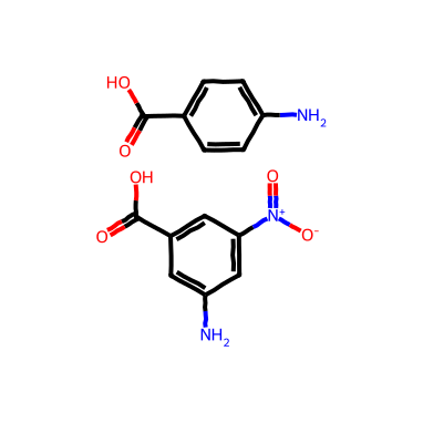 Nc1cc(C(=O)O)cc([N+](=O)[O-])c1.Nc1ccc(C(=O)O)cc1